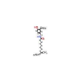 C=C(CCCCCCCCC)CCCCCCCC(=O)NCc1ccc(O)c(OC)c1